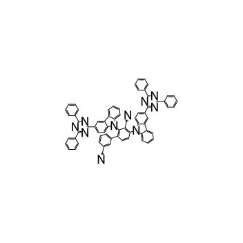 N#Cc1cccc(-c2ccc(-n3c4ccccc4c4cc(-c5nc(-c6ccccc6)nc(-c6ccccc6)n5)ccc43)c(C#N)c2-n2c3ccccc3c3cc(-c4nc(-c5ccccc5)nc(-c5ccccc5)n4)ccc32)c1